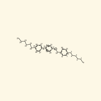 CCCCCCc1ccc(COc2cnc(-c3ccc(CCCCCC)cc3)nc2)cc1